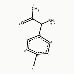 BC(C(C)=O)c1ccc(F)cc1